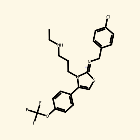 CCNCCCn1c(-c2ccc(OC(F)(F)F)cc2)cs/c1=N\Cc1ccc(Cl)cc1